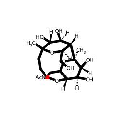 CC(=O)NCC1O[C@@]2(C)[C@H]3[C@H](O)[C@@H](O)C(C)(CCCO[C@H]1[C@H](O)[C@H]2O)O[C@@H]3CO